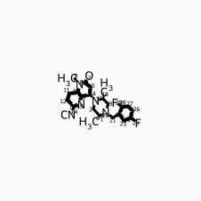 C[C@@H]1CN(c2cc(=O)n(C)c3ccc(C#N)nc23)[C@@H](C)CN1Cc1cc(F)ccc1F